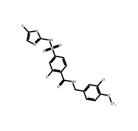 O=C(NCc1ccc(OC(F)(F)F)c(Cl)c1)c1ccc(S(=O)(=O)Nc2ncc(F)s2)cc1F